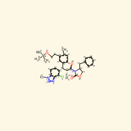 CCn1nnc2c(Cl)c([C@H](c3ccc(C)c(CCO[Si](C)(C)C(C)(C)C)c3)[C@@H](C)C(=O)N3C(=O)OCC3Cc3ccccc3)ccc21